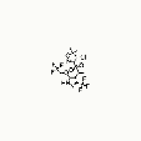 CC(c1c(C(F)(F)F)n[nH]c1OCC(F)(F)F)S(=O)(=O)C1=NOC(C)(C)C1Cl